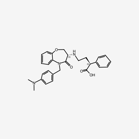 CN(C)c1ccc(CN2C(=O)[C@@H](NCC[C@H](C(=O)O)c3ccccc3)COc3ccccc32)cc1